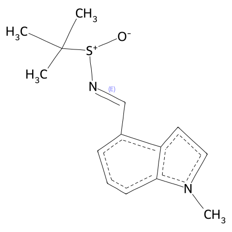 Cn1ccc2c(/C=N/[S+]([O-])C(C)(C)C)cccc21